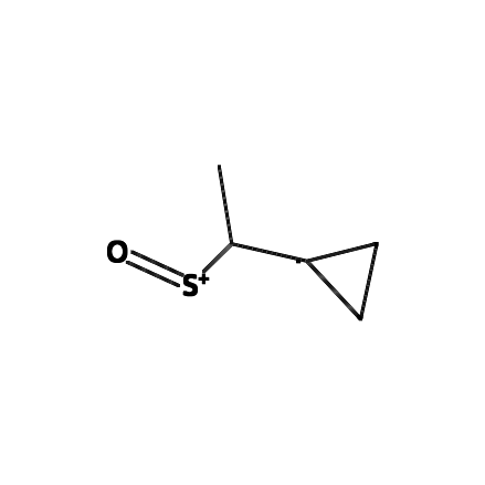 CC([S+]=O)[C]1CC1